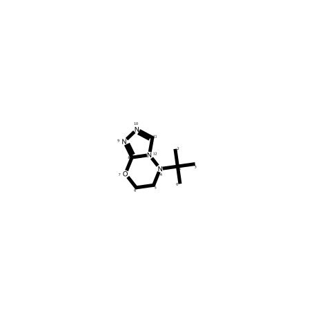 CC(C)(C)N1CCOc2nncn21